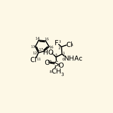 CC(=O)NC(C(F)Cl)C(O)S(C)(=O)=O.Clc1ccccc1